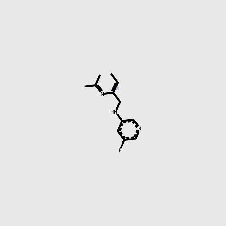 C/C=C(/CNc1cncc(F)c1)N=C(C)C